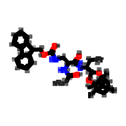 CCCCCCCCCC(=O)N[C@@H](CNC(=O)OCC1c2ccccc2-c2ccccc21)C(=O)N[C@@H](CC(C)C)B1O[C@@H]2C[C@@H]3C[C@@H](C3(C)C)[C@]2(C)O1